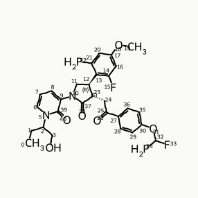 CCC(CO)n1cccc(N2C[C@@H](c3c(F)cc(OC)cc3P)[C@H](CC(=O)c3ccc(OC(F)P)cc3)C2=O)c1=O